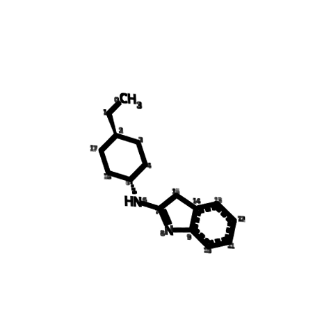 CC[C@H]1CC[C@H](NC2=Nc3ccccc3C2)CC1